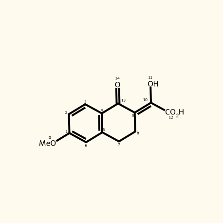 COc1ccc2c(c1)CCC(=C(O)C(=O)O)C2=O